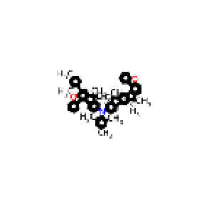 Cc1ccc(-c2cc3c(c4c2oc2ccccc24)-c2ccc(N(c4ccc5c(c4)C(C)(C)c4cc6c(cc4-5)C(C)(C)c4ccc5oc7ccccc7c5c4-6)c4c(C)cc(C)cc4C)cc2C3(C)C)c(C)c1